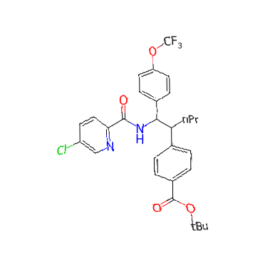 CCCC(c1ccc(C(=O)OC(C)(C)C)cc1)C(NC(=O)c1ccc(Cl)cn1)c1ccc(OC(F)(F)F)cc1